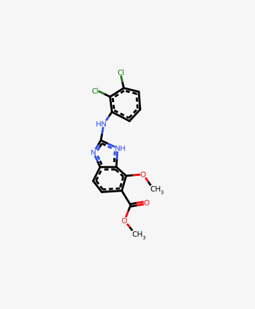 COC(=O)c1ccc2nc(Nc3cccc(Cl)c3Cl)[nH]c2c1OC